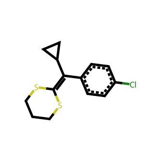 Clc1ccc(C(=C2SCCCS2)C2CC2)cc1